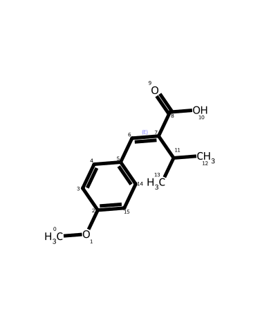 COc1ccc(/C=C(/C(=O)O)C(C)C)cc1